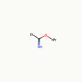 [CH2]CC(=N)OCCC